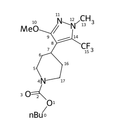 CCCCOC(=O)N1CCC(c2c(OC)nn(C)c2C(F)(F)F)CC1